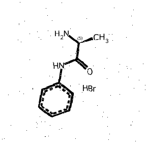 Br.C[C@H](N)C(=O)Nc1ccccc1